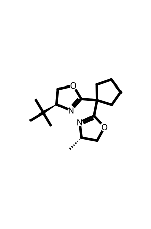 C[C@H]1COC(C2(C3=N[C@@H](C(C)(C)C)CO3)CCCC2)=N1